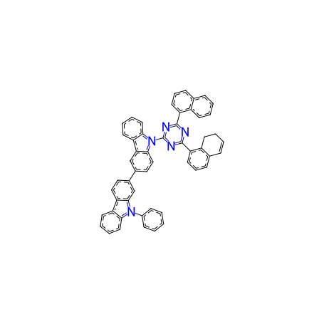 C1=Cc2cccc(-c3nc(-c4cccc5ccccc45)nc(-n4c5ccccc5c5cc(-c6ccc7c8ccccc8n(-c8ccccc8)c7c6)ccc54)n3)c2CC1